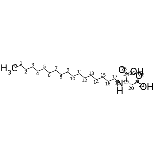 CCCCCCCCCCCCCCCCCCN[C@@H](CC(=O)O)C(=O)O